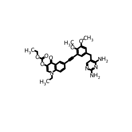 CCOC(=O)Oc1cn(CC)c2ccc(C#Cc3cc(Cc4cnc(N)nc4N)cc(OC)c3OC)cc2c1=O